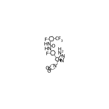 Nc1ncnn2c(CN3CCS(=O)(=O)CC3)cc(-c3ccc(NC(=O)Nc4cc(C(F)(F)F)ccc4F)c(F)c3)c12